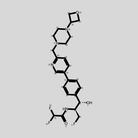 O=C(N[C@H](CF)[C@@H](O)c1ccc(-c2ccc(CN3CCN(C4COC4)CC3)nc2)cc1)C(F)F